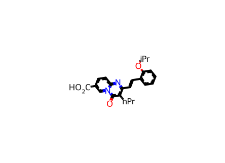 CCCc1c(/C=C/c2ccccc2OC(C)C)nc2ccc(C(=O)O)cn2c1=O